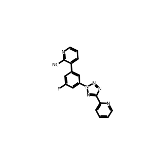 N#Cc1ncccc1-c1cc(F)cc(-n2nnc(-c3ccccn3)n2)c1